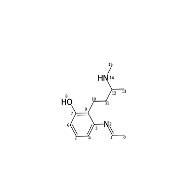 C/C=N/c1cccc(O)c1CCC(C)NC